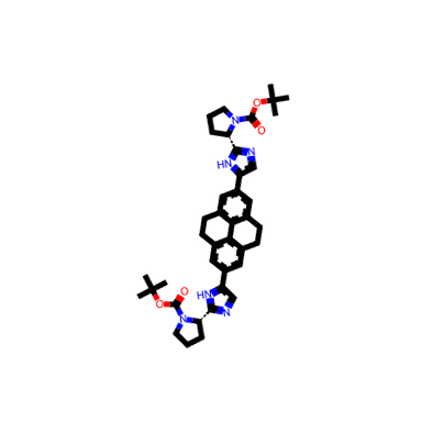 CC(C)(C)OC(=O)N1CCC[C@H]1c1ncc(-c2cc3c4c(c2)CCc2cc(-c5cnc([C@@H]6CCCN6C(=O)OC(C)(C)C)[nH]5)cc(c2-4)CC3)[nH]1